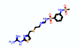 CS(=O)(=O)Nc1cccc(S(=O)(=O)NC=NCCSCc2csc(NC(=N)N)n2)c1